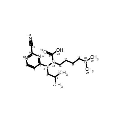 CC(C)CN(c1ccnc(C#N)n1)N(CCCCN(C)C)C(=O)O